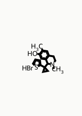 Br.Cc1cc2c(cc1O)C(C1(c3cccs3)CC1)N(C)CC2